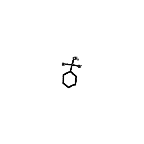 C[Si](Br)(Br)C1CCCCC1